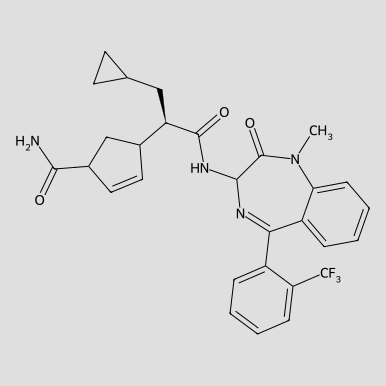 CN1C(=O)C(NC(=O)[C@H](CC2CC2)C2C=CC(C(N)=O)C2)N=C(c2ccccc2C(F)(F)F)c2ccccc21